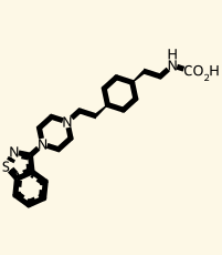 O=C(O)NCC[C@H]1CC[C@@H](CCN2CCN(c3nsc4ccccc34)CC2)CC1